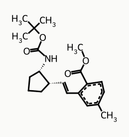 COC(=O)c1ccc(C)cc1C=C[C@@H]1CCC[C@@H]1NC(=O)OC(C)(C)C